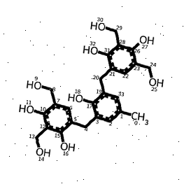 Cc1cc(Cc2cc(CO)c(O)c(CO)c2O)c(O)c(Cc2cc(CO)c(O)c(CO)c2O)c1